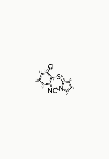 N#Cn1[c]ccc1Sc1ccccc1Cl